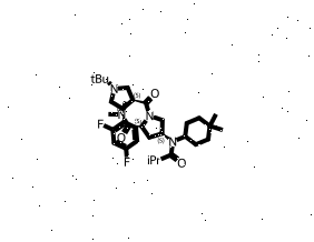 CC(C)C(=O)N(C1CCC(C)(C)CC1)[C@H]1C[C@@H](C(=O)N(C)C)N(C(=O)[C@@H]2CN(C(C)(C)C)C[C@H]2c2ccc(F)cc2F)C1